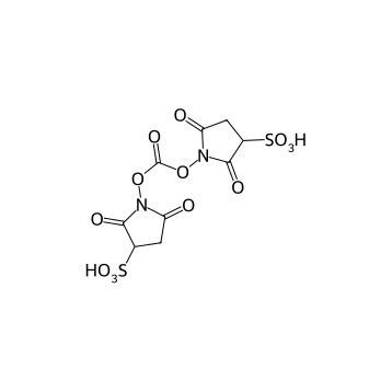 O=C(ON1C(=O)CC(S(=O)(=O)O)C1=O)ON1C(=O)CC(S(=O)(=O)O)C1=O